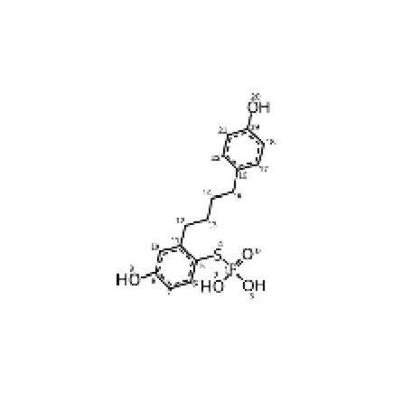 O=P(O)(O)Sc1ccc(O)cc1CCCCc1ccc(O)cc1